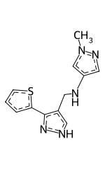 Cn1cc(NCc2c[nH]nc2-c2cccs2)cn1